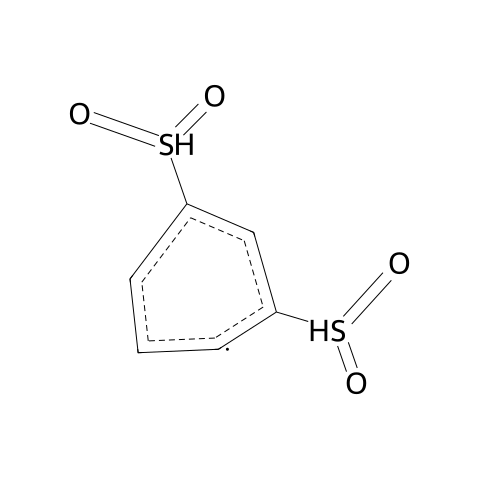 O=[SH](=O)c1[c]ccc([SH](=O)=O)c1